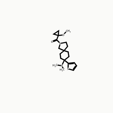 COC1(C(=O)N2CCC3(CCC(c4cccs4)(N(C)C)CC3)C2)CC1